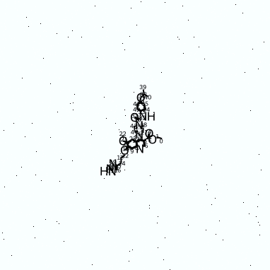 CCOC(=O)c1cnc2cc(OCCCc3c[nH]nn3)c(OC)cc2c1N1CCN(C(=O)Nc2ccc(OC(C)C)cc2)CC1